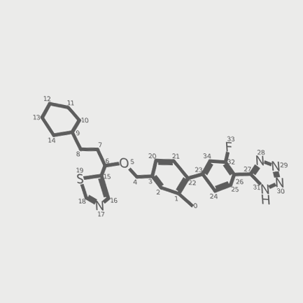 Cc1cc(COC(CCC2CCCCC2)c2cncs2)ccc1-c1ccc(-c2nnn[nH]2)c(F)c1